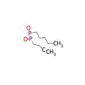 CCCCCP=O.CCCCP=O